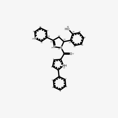 O=C(c1ccc(-c2ccccc2)[nH]1)N1N=C(c2cccnc2)CC1c1ccccc1O